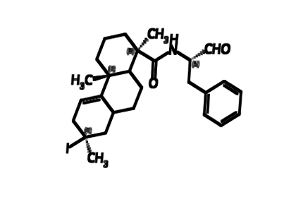 C[C@]1(I)CC=C2C(CCC3[C@](C)(C(=O)N[C@H](C=O)Cc4ccccc4)CCC[C@@]23C)C1